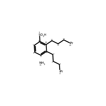 CC(C)CCCc1cccc(S(=O)(=O)O)c1CCCC(C)C.N